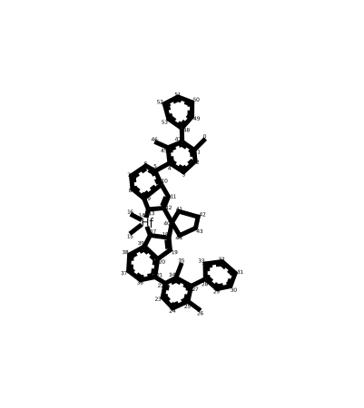 Cc1ccc(-c2cccc3c2C=C2[CH]3[Hf]([CH3])([CH3])[CH]3C(=Cc4c(-c5ccc(C)c(-c6ccccc6)c5C)cccc43)C23CCCC3)c(C)c1-c1ccccc1